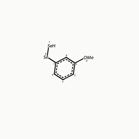 COc1cccc([Se][SeH])c1